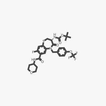 CC(C)(C)OC(=O)N[C@H]1CSc2cc(F)c(C(=O)NC3CCOCC3)cc2N(Cc2ccc(OC(F)(F)F)cc2)C1=O